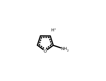 Nc1ccco1.[H+]